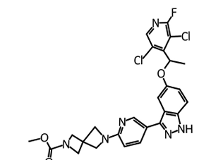 COC(=O)N1CC2(C1)CN(c1ccc(-c3n[nH]c4ccc(OC(C)c5c(Cl)cnc(F)c5Cl)cc34)cn1)C2